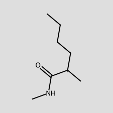 CCCC[C](C)C(=O)NC